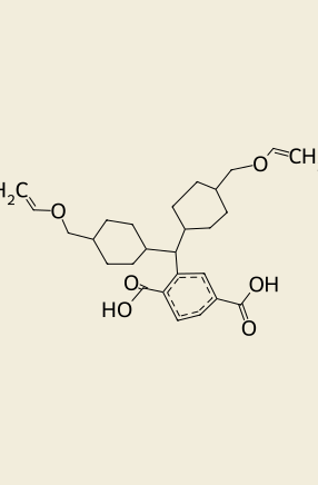 C=COCC1CCC(C(c2cc(C(=O)O)ccc2C(=O)O)C2CCC(COC=C)CC2)CC1